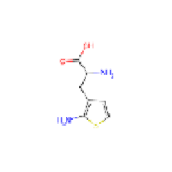 Nc1sccc1CC(N)C(=O)O